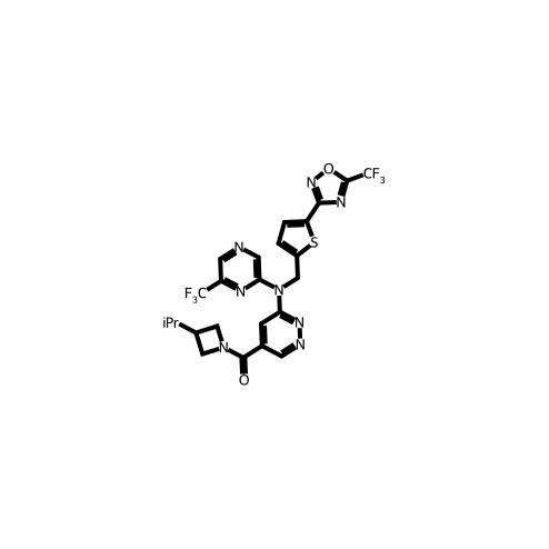 CC(C)C1CN(C(=O)c2cnnc(N(Cc3ccc(-c4noc(C(F)(F)F)n4)s3)c3cncc(C(F)(F)F)n3)c2)C1